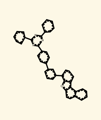 c1ccc(-c2nc(-c3ccccc3)nc(-c3ccc(-c4cccc(-c5cccc6c5oc5ccc7ccccc7c56)c4)cc3)n2)cc1